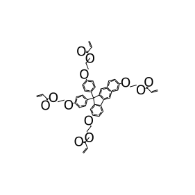 C=CC(=O)OCCOc1ccc(C2(c3ccc(OCCOC(=O)C=C)cc3)c3cc(OCCOC(=O)C=C)ccc3-c3cc4cc(OCCOC(=O)C=C)ccc4cc32)cc1